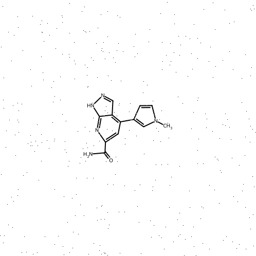 Cn1ccc(-c2cc(C(N)=O)nc3[nH]ncc23)c1